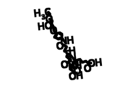 CCOCC(O)COc1ccc(NC(=O)CCSCC(NC(=O)CCCC(=O)O)C(=O)NCC(=O)O)cc1